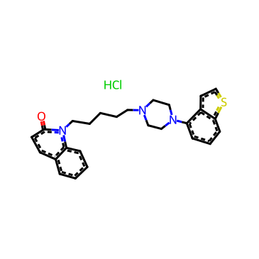 Cl.O=c1ccc2ccccc2n1CCCCCN1CCN(c2cccc3sccc23)CC1